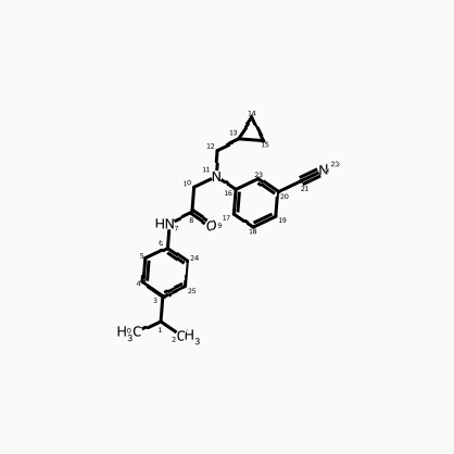 CC(C)c1ccc(NC(=O)CN(CC2CC2)c2cccc(C#N)c2)cc1